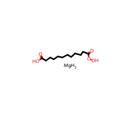 O=C(O)CCCCCCCCCCC(=O)OO.[MgH2]